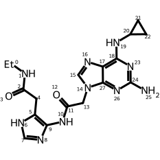 CCNC(=O)Cc1[nH]cnc1NC(=O)Cn1cnc2c(NC3CC3)nc(N)nc21